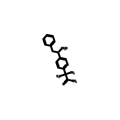 CC(C)(C(N)=O)c1ccc(N(Cc2ccccc2)C(=O)O)cn1